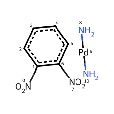 O=[N+]([O-])c1ccccc1[N+](=O)[O-].[NH2][Pd][NH2]